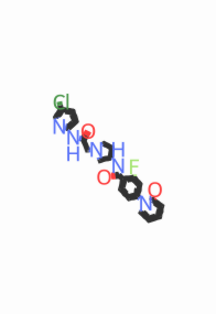 O=C(CN1CCC(NC(=O)c2ccc(-n3ccccc3=O)cc2F)C1)Nc1ccc(Cl)cn1